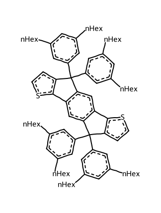 CCCCCCc1cc(CCCCCC)cc(C2(c3cc(CCCCCC)cc(CCCCCC)c3)c3cc4c(cc3-c3sccc32)C(c2cc(CCCCCC)cc(CCCCCC)c2)(c2cc(CCCCCC)cc(CCCCCC)c2)c2ccsc2-4)c1